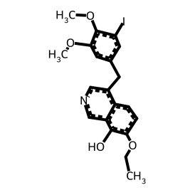 CCOc1ccc2c(Cc3cc(I)c(OC)c(OC)c3)cncc2c1O